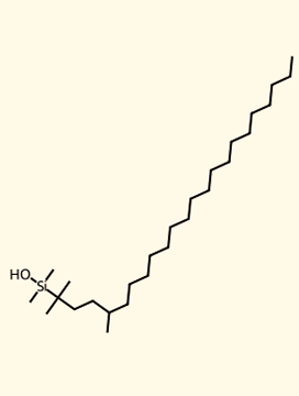 CCCCCCCCCCCCCCCCCCC(C)CCC(C)(C)[Si](C)(C)O